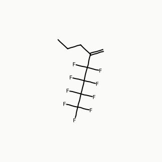 C=C(CCC)C(F)(F)C(F)(F)C(F)(F)C(F)(F)F